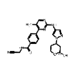 Cc1cnc(Nc2cnn(C3CCO[C@H](C)C3)c2)nc1-c1ccc(C(=O)NCC#N)cc1